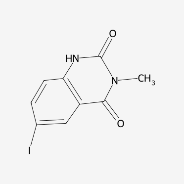 Cn1c(=O)[nH]c2ccc(I)cc2c1=O